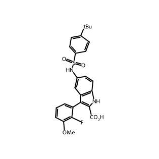 COc1cccc(-c2c(C(=O)O)[nH]c3ccc(NS(=O)(=O)c4ccc(C(C)(C)C)cc4)cc23)c1F